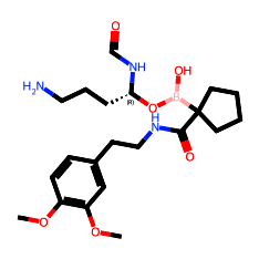 COc1ccc(CCNC(=O)C2(B(O)O[C@H](CCCN)NC=O)CCCC2)cc1OC